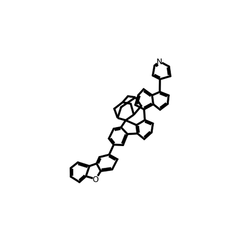 c1cc2c(c(-c3cccc4c(-c5ccncc5)cccc34)c1)C1(c3ccc(-c4ccc5oc6ccccc6c5c4)cc3-2)C2CC3CC(C2)CC1C3